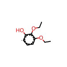 CCOc1cc[c]c(O)c1OCC